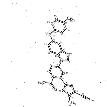 CC(=O)c1ccc(-n2cnc3cc(Nc4ccc(C)nn4)ccc32)nc1-c1cc(C#N)n(C)n1